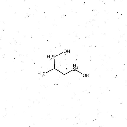 CC(C[SiH2]O)[SiH2]O